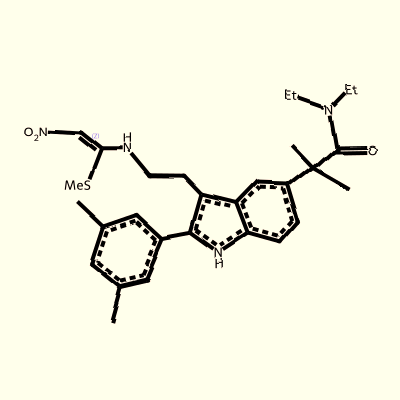 CCN(CC)C(=O)C(C)(C)c1ccc2[nH]c(-c3cc(C)cc(C)c3)c(CCN/C(=C/[N+](=O)[O-])SC)c2c1